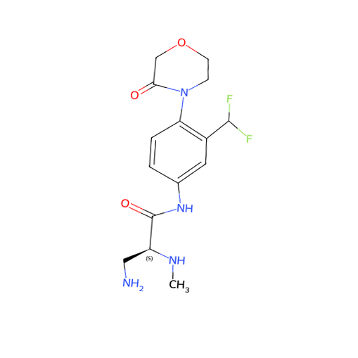 CN[C@@H](CN)C(=O)Nc1ccc(N2CCOCC2=O)c(C(F)F)c1